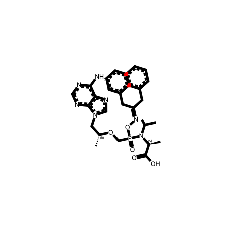 CC(C)N([C@@H](C)C(=O)O)P(=O)(CO[C@H](C)Cn1cnc2c(N)ncnc21)ON=C(Cc1ccccc1)Cc1ccccc1